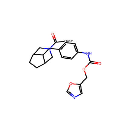 COC(=O)N1CC2CCC(C1)C2Cc1ccc(NC(=O)OCc2cnco2)cc1